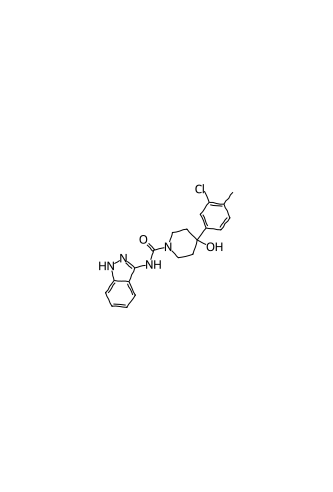 Cc1ccc(C2(O)CCN(C(=O)Nc3n[nH]c4ccccc34)CC2)cc1Cl